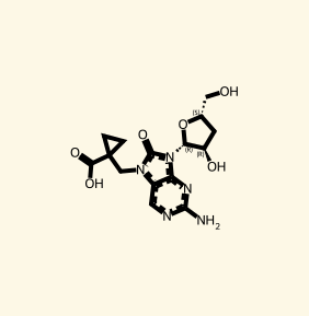 Nc1ncc2c(n1)n([C@@H]1O[C@H](CO)C[C@H]1O)c(=O)n2CC1(C(=O)O)CC1